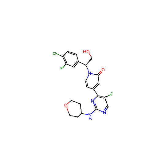 O=c1cc(-c2nc(NC3CCOCC3)ncc2F)ccn1[C@H](CO)c1ccc(Cl)c(F)c1